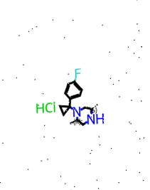 C[C@@H]1CN[C@@H](C)CN1C1(c2ccc(F)cc2)CC1.Cl